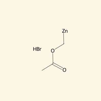 Br.CC(=O)O[CH2][Zn]